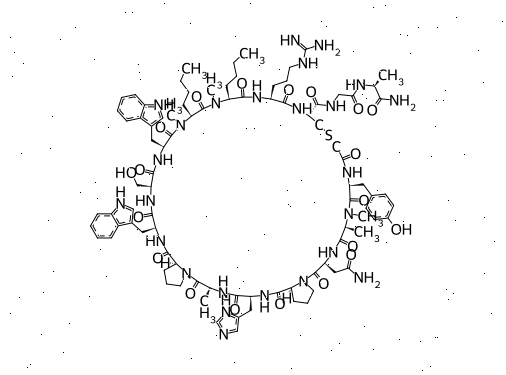 CCCC[C@H]1C(=O)N(C)[C@@H](CCCC)C(=O)N[C@@H](CCCNC(=N)N)C(=O)N[C@H](C(=O)NCC(=O)N[C@@H](C)C(N)=O)CSCC(=O)N[C@@H](Cc2ccc(O)cc2)C(=O)N(C)[C@@H](C)C(=O)N[C@@H](CC(N)=O)C(=O)N2CCC[C@H]2C(=O)N[C@@H](Cc2cnc[nH]2)C(=O)N[C@@H](C)C(=O)N2CCC[C@H]2C(=O)N[C@@H](Cc2c[nH]c3ccccc23)C(=O)N[C@@H](CO)C(=O)N[C@@H](Cc2c[nH]c3ccccc23)C(=O)N1C